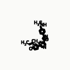 CCC(C)n1cc(-c2cncc(-c3cc(-c4ccc(CNC)cc4)no3)n2)ccc1=O